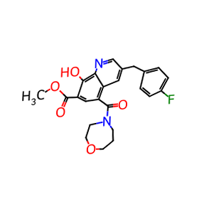 COC(=O)c1cc(C(=O)N2CCCOCC2)c2cc(Cc3ccc(F)cc3)cnc2c1O